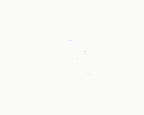 COc1cc(-c2cc(CCl)on2)ccc1F